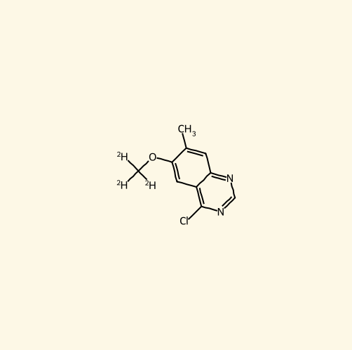 [2H]C([2H])([2H])Oc1cc2c(Cl)ncnc2cc1C